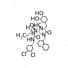 C=CCN(C(=O)NCc1ccc(Cl)c(Cl)c1)N(C)[C@H]1CN(Cc2cccc3ccccc23)C(=O)[C@H](Cc2ccc(O)c(O)c2)N1C=O